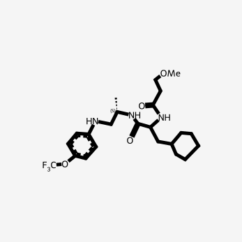 COCCC(=O)NC(CC1CCCCC1)C(=O)N[C@@H](C)CNc1ccc(OC(F)(F)F)cc1